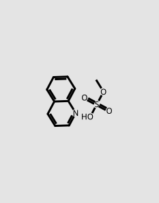 COS(=O)(=O)O.c1ccc2ncccc2c1